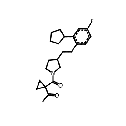 CC(=O)C1(C(=O)N2CCC(CCc3ccc(F)cc3C3CCCC3)C2)CC1